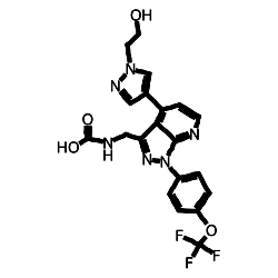 O=C(O)NCc1nn(-c2ccc(OC(F)(F)F)cc2)c2nccc(-c3cnn(CCO)c3)c12